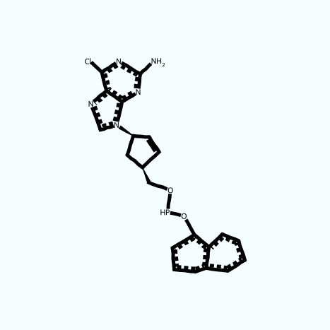 Nc1nc(Cl)c2ncn([C@H]3C=C[C@@H](COPOc4cccc5ccccc45)C3)c2n1